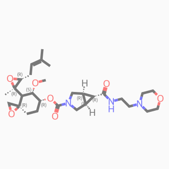 CO[C@H]1C([C@@]2(C)O[C@@H]2CC=C(C)C)[C@]2(CC[C@H]1OC(=O)N1C[C@@H]3[C@H](C1)[C@H]3C(=O)NCCN1CCOCC1)CO2